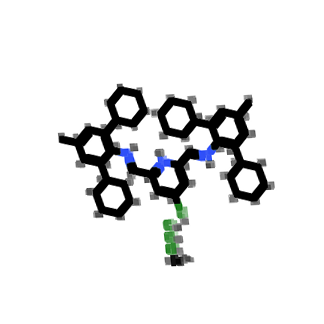 Cc1cc(C2CCCCC2)c(N=Cc2cc(Cl)cc(C=Nc3c(C4CCCCC4)cc(C)cc3C3CCCCC3)n2)c(C2CCCCC2)c1.[Cl-].[Cl-].[Cl-].[Fe+3]